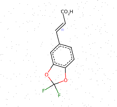 O=C(O)/C=C/c1ccc2c(c1)OC(F)(F)O2